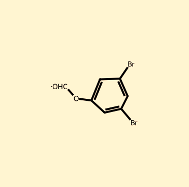 O=[C]Oc1cc(Br)cc(Br)c1